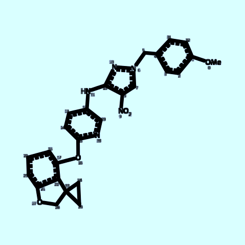 COc1ccc(Cn2cc([N+](=O)[O-])c(Nc3ccc(Oc4cccc5c4C4(CC4)CO5)nc3)n2)cc1